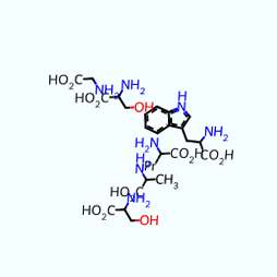 CC(C)C(N)C(=O)O.CC(N)C(=O)O.NC(CO)C(=O)O.NC(CO)C(=O)O.NC(Cc1c[nH]c2ccccc12)C(=O)O.NCC(=O)O